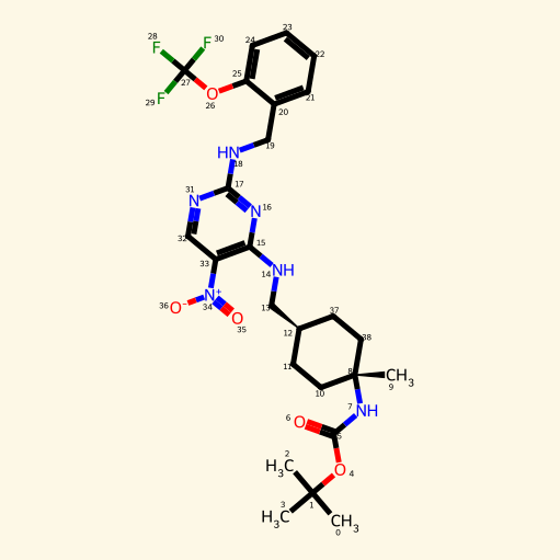 CC(C)(C)OC(=O)N[C@]1(C)CC[C@@H](CNc2nc(NCc3ccccc3OC(F)(F)F)ncc2[N+](=O)[O-])CC1